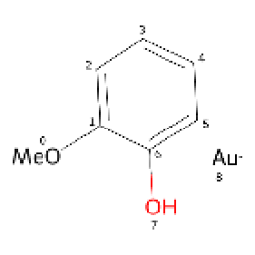 COc1ccccc1O.[Au]